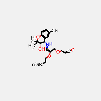 CCCCCCCCCCCCO/C(=C/N[C@H]1c2cc(C#N)ccc2OC(C)(C)[C@@H]1O)COCC=C=O